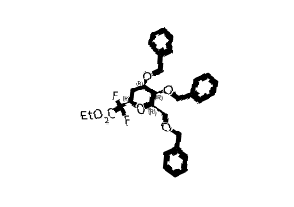 CCOC(=O)C(F)(F)[C@H]1C[C@@H](OCc2ccccc2)[C@@H](OCc2ccccc2)[C@@H](COCc2ccccc2)O1